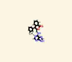 Cc1cccc(-c2c(CNc3ncnc4[nH]cnc34)oc(=O)c3ccccc23)c1